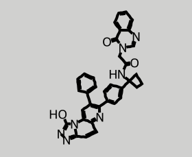 O=C(Cn1cnc2ccccc2c1=O)NC1(c2ccc(-c3nc4ccc5nnc(O)n5c4cc3-c3ccccc3)cc2)CCC1